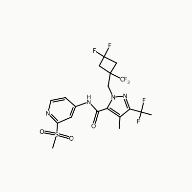 Cc1c(C(C)(F)F)nn(CC2(C(F)(F)F)CC(F)(F)C2)c1C(=O)Nc1ccnc(S(C)(=O)=O)c1